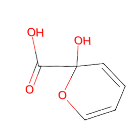 O=C(O)C1(O)C=CC=CO1